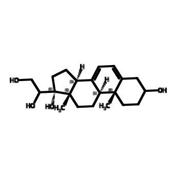 C[C@]12CCC(O)CC1=CC=C1[C@@H]2CC[C@@]2(C)[C@H]1CC[C@]2(O)C(O)CO